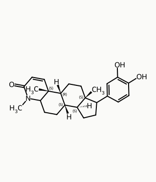 CN1C(=O)C=C[C@@]2(C)C1CC[C@@H]1[C@H]2CC[C@]2(C)C(c3ccc(O)c(O)c3)CC[C@@H]12